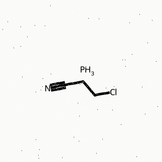 N#CCCCl.P